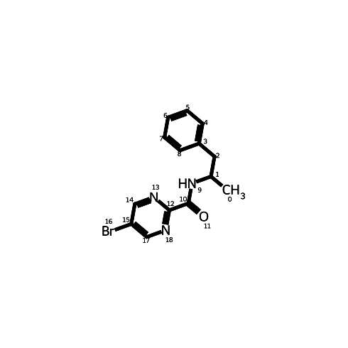 CC(Cc1ccccc1)NC(=O)c1ncc(Br)cn1